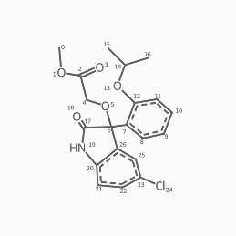 COC(=O)COC1(c2ccccc2OC(C)C)C(=O)Nc2ccc(Cl)cc21